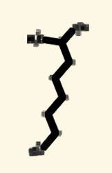 [CH2]CCCC(C)CCCCCC(C)(C)C